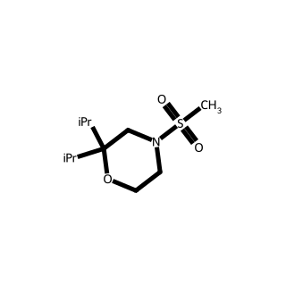 CC(C)C1(C(C)C)CN(S(C)(=O)=O)CCO1